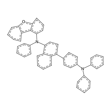 c1ccc(N(c2ccccc2)c2ccc(-c3ccc(N(c4ccccc4)c4cccc5oc6ccccc6c45)c4ccccc34)cc2)cc1